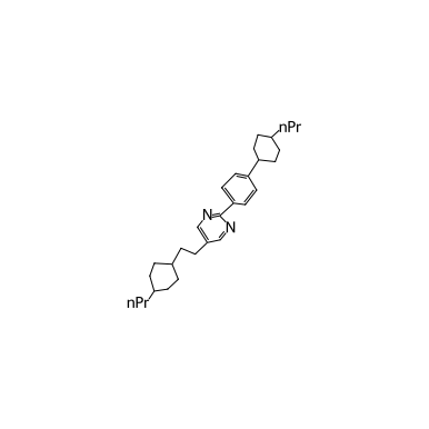 CCCC1CCC(CCc2cnc(-c3ccc(C4CCC(CCC)CC4)cc3)nc2)CC1